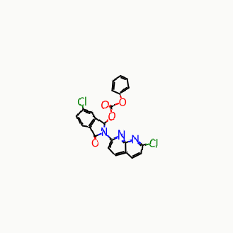 O=C(Oc1ccccc1)OC1c2cc(Cl)ccc2C(=O)N1c1ccc2ccc(Cl)nc2n1